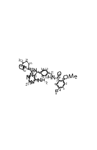 COc1ccc(F)cc1C(=O)NCc1ccc(-c2nc(C3CCCOC3)n3ncnc(N)c23)cc1